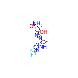 Cc1cc(Nc2nccc(C(F)(F)F)n2)cc(-n2cnc([C@]3(O)CC[C@@H](C(N)=O)CC3)c2)c1